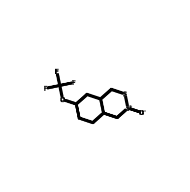 [O-][S+]1CC2CCC(OC(F)(F)F)CC2CS1